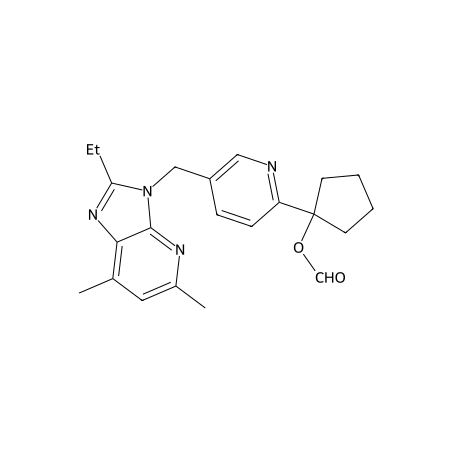 CCc1nc2c(C)cc(C)nc2n1Cc1ccc(C2(OC=O)CCCC2)nc1